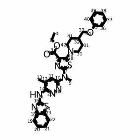 CCOC(=O)c1nc(N(C)c2cc(C)c(Nc3nc4ccccc4s3)nn2)sc1N1CCC(COc2ccccc2)CC1